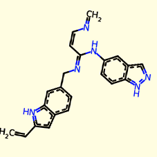 C=Cc1cc2ccc(C/N=C(\C=C/N=C)Nc3ccc4[nH]ncc4c3)cc2[nH]1